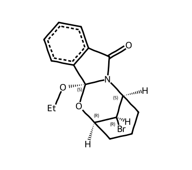 CCO[C@@]12O[C@@H]3CCC[C@@H]([C@H]3Br)N1C(=O)c1ccccc12